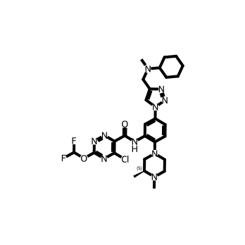 C[C@H]1CN(c2ccc(-n3cc(CN(C)C4CCCCC4)nn3)cc2NC(=O)c2nnc(OC(F)F)nc2Cl)CCN1C